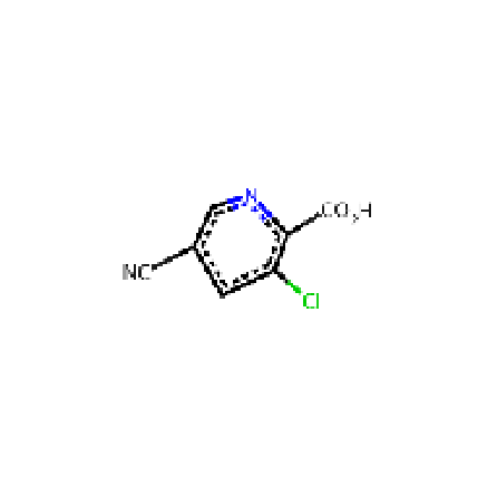 N#Cc1cnc(C(=O)O)c(Cl)c1